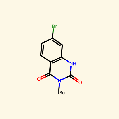 CC(C)(C)n1c(=O)[nH]c2cc(Br)ccc2c1=O